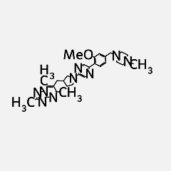 COc1cc(CN2CCN(C)CC2)ccc1-c1cnc(N2CCC(Cc3c(C)nc4nc(C)nn4c3C)C2)cn1